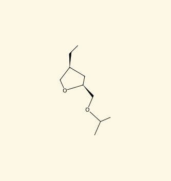 CC[C@@H]1CO[C@H](COC(C)C)C1